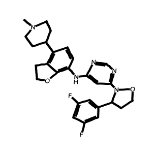 CN1CCC(c2ccc(Nc3cc(N4OCCC4c4cc(F)cc(F)c4)ncn3)c3c2CCO3)CC1